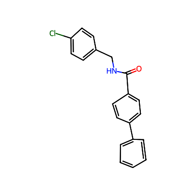 O=C(NCc1ccc(Cl)cc1)c1ccc(-c2ccccc2)cc1